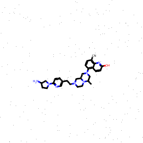 CC1CN(c2ccc(C#N)c3nc(O)ccc23)CC2CN(CCc3ccc(N4CCC(N)C4)nc3)CCN12